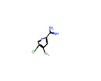 N=C(N)c1cc(C(F)(F)F)c(Cl)cn1